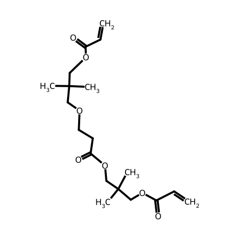 C=CC(=O)OCC(C)(C)COCCC(=O)OCC(C)(C)COC(=O)C=C